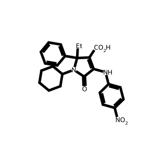 CCC1(c2ccccc2)C(C(=O)O)=C(Nc2ccc([N+](=O)[O-])cc2)C(=O)N1C1CCCCC1